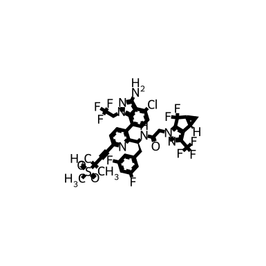 CC(C)(C#Cc1ccc(-c2ccc(Cl)c3c(N)nn(CC(F)(F)F)c23)c([C@H](Cc2cc(F)cc(F)c2)NC(=O)Cn2nc(C(F)(F)F)c3c2C(F)(F)C2=C[C@@H]23)n1)S(C)(=O)=O